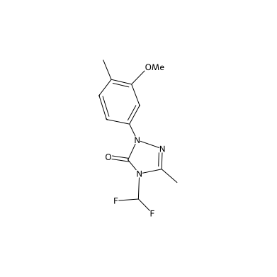 COc1cc(-n2nc(C)n(C(F)F)c2=O)ccc1C